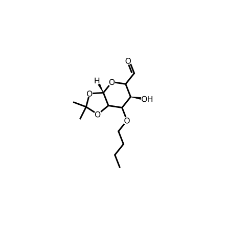 CCCCOC1C2OC(C)(C)O[C@@H]2OC(C=O)[C@H]1O